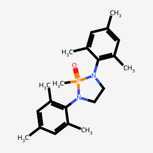 Cc1cc(C)c(N2CCN(c3c(C)cc(C)cc3C)P2(C)=O)c(C)c1